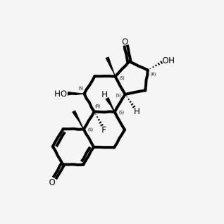 C[C@]12C=CC(=O)C=C1CC[C@H]1[C@@H]3C[C@@H](O)C(=O)[C@@]3(C)C[C@H](O)[C@@]12F